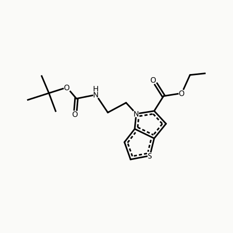 CCOC(=O)c1cc2sccc2n1CCNC(=O)OC(C)(C)C